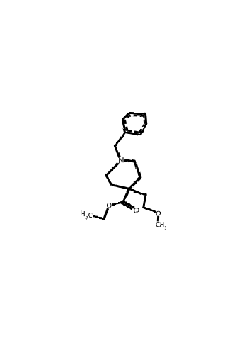 CCOC(=O)C1(CCOC)CCN(Cc2ccccc2)CC1